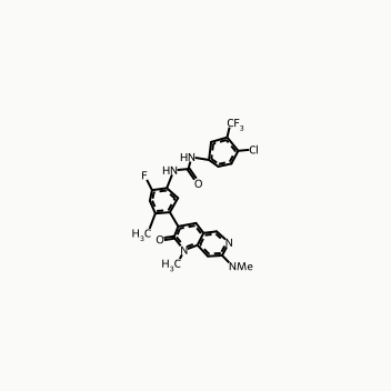 CNc1cc2c(cn1)cc(-c1cc(NC(=O)Nc3ccc(Cl)c(C(F)(F)F)c3)c(F)cc1C)c(=O)n2C